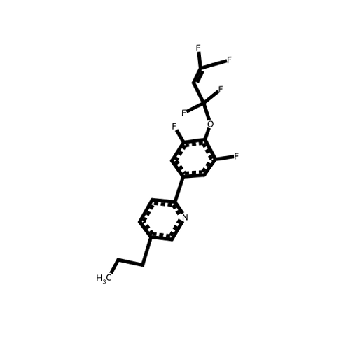 CCCc1ccc(-c2cc(F)c(OC(F)(F)C=C(F)F)c(F)c2)nc1